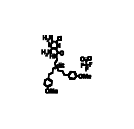 CC[N+](CCCc1ccc(OC)cc1)(CCCc1ccc(OC)cc1)CCNC(=O)c1nc(Cl)c(N)nc1N.O=C([O-])C(F)(F)F